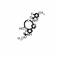 COC(=O)Nc1ccc2c(c1)NC(O)CCCCC[C@H](NC(=O)c1c(F)cc(C)cc1F)c1cc-2ccn1